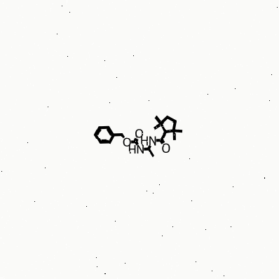 CC(NC(=O)OCc1ccccc1)NC(=O)C1C(C)(C)CCC1(C)C